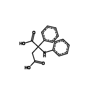 O=C(O)CC(Nc1ccccc1)(C(=O)O)c1ccccc1